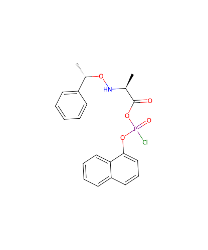 C[C@H](NO[C@@H](C)c1ccccc1)C(=O)OP(=O)(Cl)Oc1cccc2ccccc12